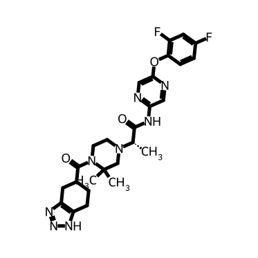 C[C@@H](C(=O)Nc1cnc(Oc2ccc(F)cc2F)cn1)N1CCN(C(=O)C2CCc3[nH]nnc3C2)C(C)(C)C1